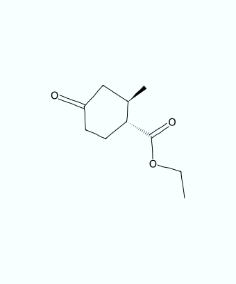 CCOC(=O)[C@@H]1CCC(=O)C[C@H]1C